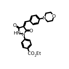 CCOC(=O)c1ccc(N2NC(=O)/C(=C/c3ccc(N4CCOCC4)cc3)C2=O)cc1